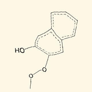 COOc1cc2ccccc2cc1O